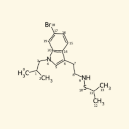 CC(C)Cn1cc(CCNSC(C)C)c2ccc(Br)cc21